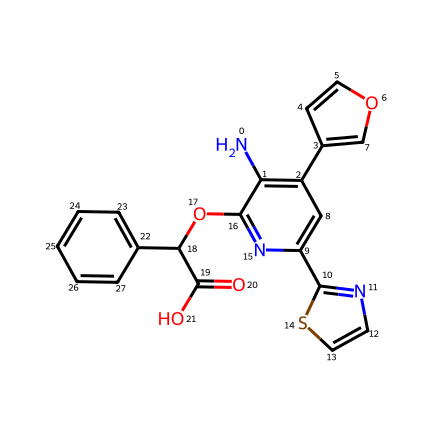 Nc1c(-c2ccoc2)cc(-c2nccs2)nc1OC(C(=O)O)c1ccccc1